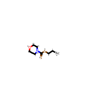 CC(=O)CCSC(=S)N1CCOCC1